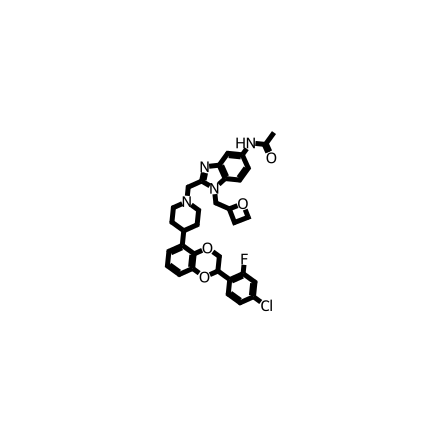 CC(=O)Nc1ccc2c(c1)nc(CN1CCC(c3cccc4c3OCC(c3ccc(Cl)cc3F)O4)CC1)n2CC1CCO1